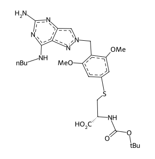 CCCCNc1nc(N)nc2cn(Cc3c(OC)cc(SC[C@H](NC(=O)OC(C)(C)C)C(=O)O)cc3OC)nc12